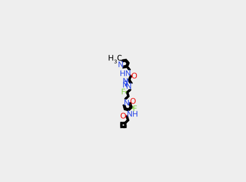 Cc1ccc(CNC(=O)c2cn(CC(F)CCn3ccc(NC(=O)CC4CCC4)c(F)c3=O)nn2)cn1